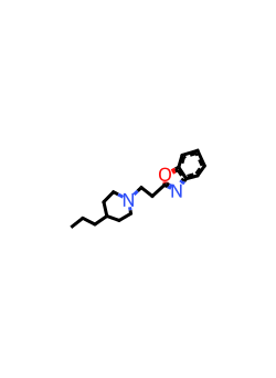 CCCC1CCN(CCc2nc3ccccc3o2)CC1